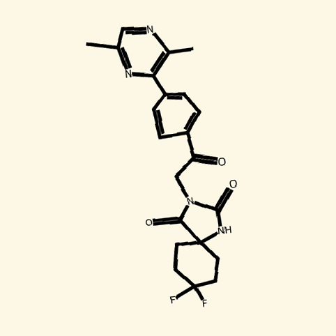 Cc1cnc(C)c(-c2ccc(C(=O)CN3C(=O)NC4(CCC(F)(F)CC4)C3=O)cc2)n1